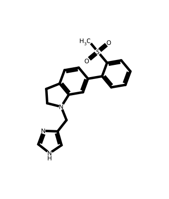 CS(=O)(=O)c1ccccc1-c1ccc2c(c1)N(Cc1c[nH]cn1)CC2